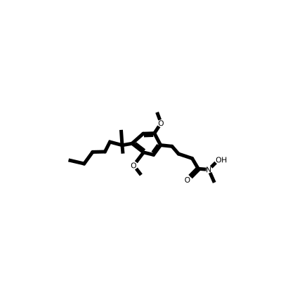 CCCCCC(C)(C)c1cc(OC)c(CCCC(=O)N(C)O)cc1OC